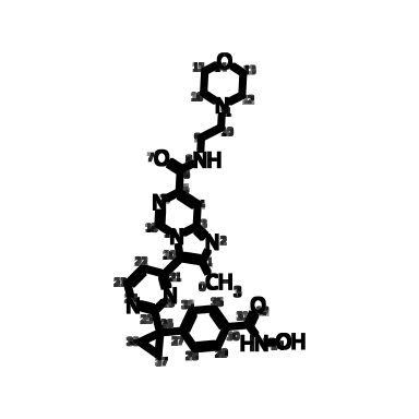 Cc1nc2cc(C(=O)NCCN3CCOCC3)ncn2c1-c1ccnc(C2(c3ccc(C(=O)NO)cc3)CC2)n1